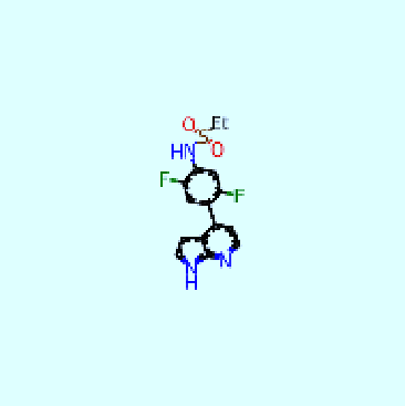 CCS(=O)(=O)Nc1cc(F)c(-c2ccnc3[nH]ccc23)cc1F